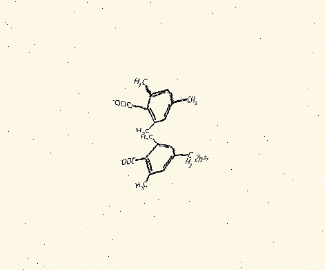 Cc1cc(C)c(C(=O)[O-])c(C)c1.Cc1cc(C)c(C(=O)[O-])c(C)c1.[Zn+2]